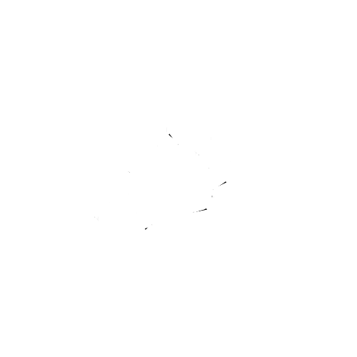 C=CC[C@H]1C(=O)N2C(=O)OC[C@H]2C2=CC3(C=C2)c2c(nccc2[C@H]2CC[C@@H]1CC2)C=CC3F